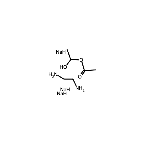 CC(=O)OC(C)O.NCCN.[NaH].[NaH].[NaH]